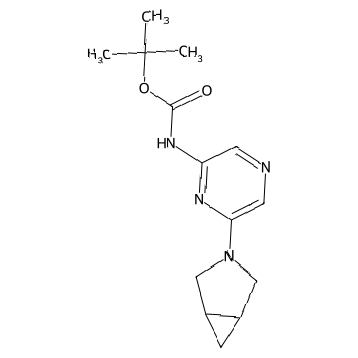 CC(C)(C)OC(=O)Nc1cncc(N2CC3CC3C2)n1